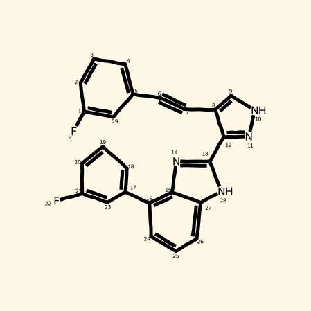 Fc1cccc(C#Cc2c[nH]nc2-c2nc3c(-c4cccc(F)c4)cccc3[nH]2)c1